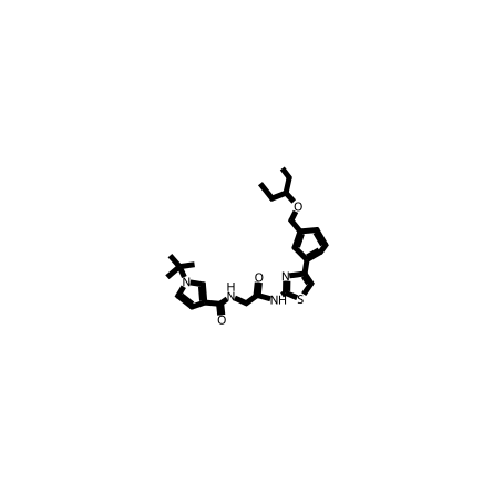 CCC(CC)OCc1cccc(-c2csc(NC(=O)CNC(=O)c3ccn(C(C)(C)C)c3)n2)c1